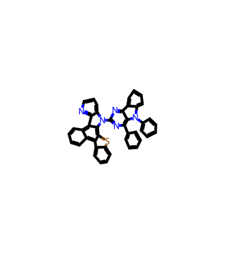 c1ccc(-c2nc(-n3c4cccnc4c4c5ccccc5c5c6ccccc6sc5c43)nc3c4ccccc4n(-c4ccccc4)c23)cc1